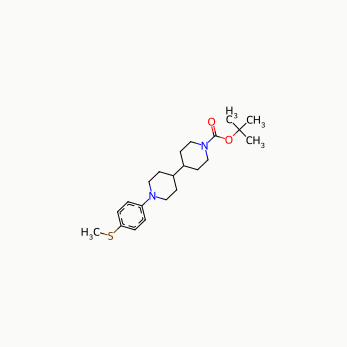 CSc1ccc(N2CCC(C3CCN(C(=O)OC(C)(C)C)CC3)CC2)cc1